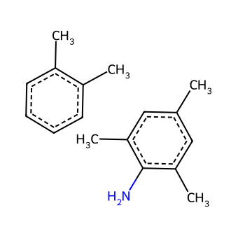 Cc1cc(C)c(N)c(C)c1.Cc1ccccc1C